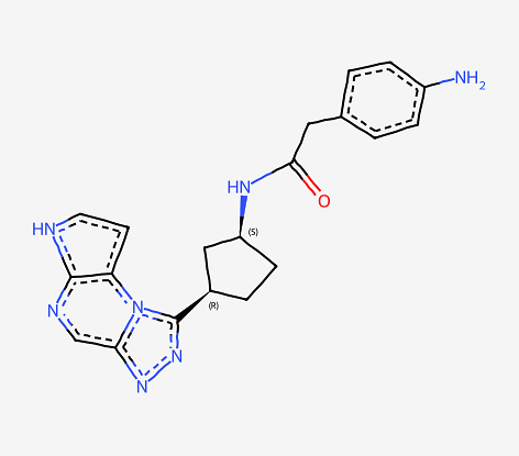 Nc1ccc(CC(=O)N[C@H]2CC[C@@H](c3nnc4cnc5[nH]ccc5n34)C2)cc1